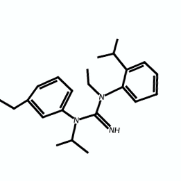 CCc1cccc(N(C(=N)N(CC)c2ccccc2C(C)C)C(C)C)c1